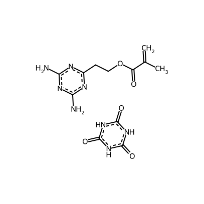 C=C(C)C(=O)OCCc1nc(N)nc(N)n1.O=c1[nH]c(=O)[nH]c(=O)[nH]1